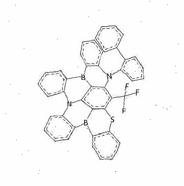 FC(F)(F)c1c2c3c4c5c1N(c1ccccc1-c1ccccc1)c1ccccc1B5c1ccccc1N4c1ccccc1B3c1ccccc1S2